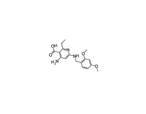 CCc1nc(NCc2ccc(OC)cc2OC)cc(N)c1C(=O)O